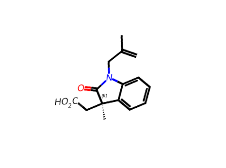 C=C(C)CN1C(=O)[C@](C)(CC(=O)O)c2ccccc21